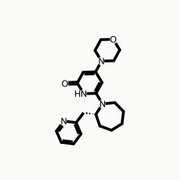 O=c1cc(N2CCOCC2)cc(N2CCCCC[C@@H]2Cc2ccccn2)[nH]1